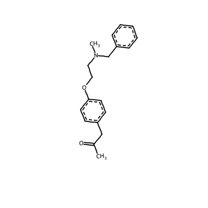 CC(=O)Cc1ccc(OCCN(C)Cc2ccccc2)cc1